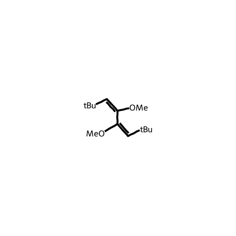 COC(=C/C(C)(C)C)/C(=C\C(C)(C)C)OC